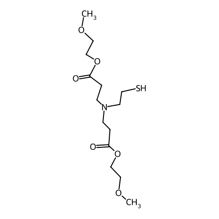 COCCOC(=O)CCN(CCS)CCC(=O)OCCOC